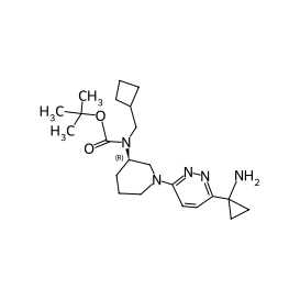 CC(C)(C)OC(=O)N(CC1CCC1)[C@@H]1CCCN(c2ccc(C3(N)CC3)nn2)C1